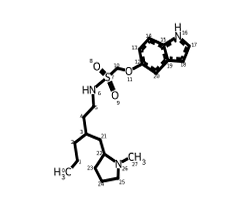 CCCC(CCNS(=O)(=O)COc1ccc2[nH]ccc2c1)CC1CCCN1C